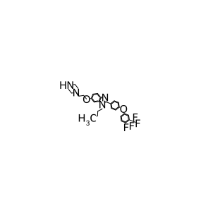 CCCCn1c(-c2ccc(Oc3ccc(F)c(C(F)(F)F)c3)cc2)nc2ccc(OCCN3CCNCC3)cc21